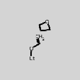 C1COC1.C=COCC